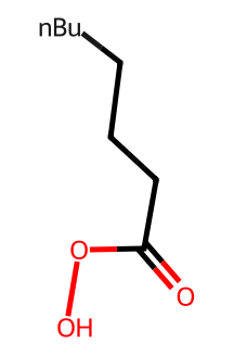 CCCCCCCC(=O)OO